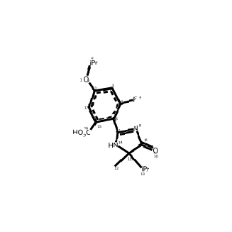 CC(C)Oc1cc(F)c(C2=NC(=O)C(C)(C(C)C)N2)c(C(=O)O)c1